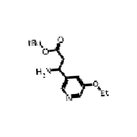 CCOc1cncc(C(N)CC(=O)OC(C)(C)C)c1